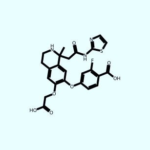 CC1(CC(=O)Nc2nccs2)NCCc2cc(OCC(=O)O)c(Oc3ccc(C(=O)O)c(F)c3)cc21